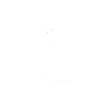 CCCCCc1ccc(CC[C@H]2CC[C@H](CCC)CC2)cc1